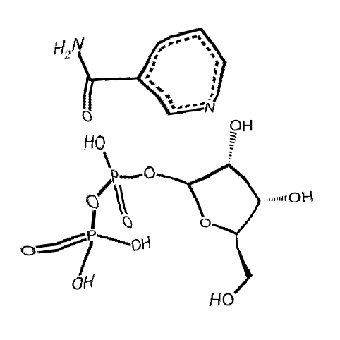 NC(=O)c1cccnc1.O=P(O)(O)OP(=O)(O)OC1O[C@H](CO)[C@@H](O)[C@H]1O